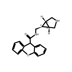 O=C(NC[C@H]1[C@@H]2CNC[C@@H]21)C1c2ccccc2Oc2ccccc21